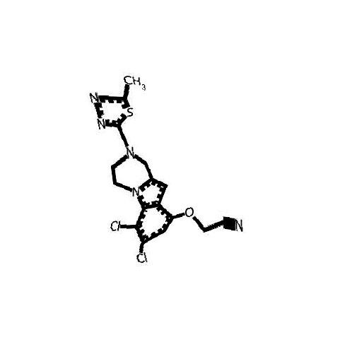 Cc1nnc(N2CCn3c(cc4c(OCC#N)cc(Cl)c(Cl)c43)C2)s1